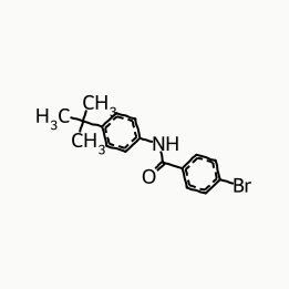 CC(C)(C)c1ccc(NC(=O)c2ccc(Br)cc2)cc1